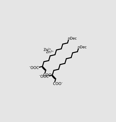 CCCCCCCCCCCCCCCCCCC(=CC(=O)[O-])C(=O)[O-].CCCCCCCCCCCCCCCCCCC(=CC(=O)[O-])C(=O)[O-].[Zn+2].[Zn+2]